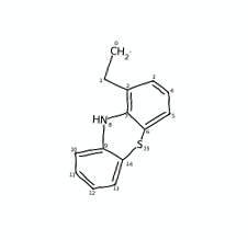 [CH2]Cc1cccc2c1Nc1ccccc1S2